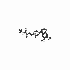 COc1cc2nccc(N3CCN(CCNC(=O)OC(C)(C)C)[C@H](C)C3)c2cc1OC